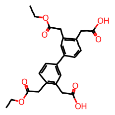 CCOC(=O)Cc1ccc(-c2ccc(CC(=O)O)c(CC(=O)OCC)c2)cc1CC(=O)O